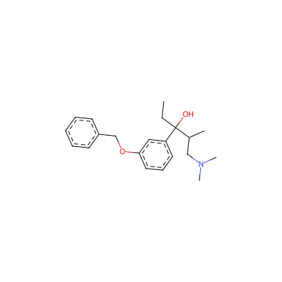 CCC(O)(c1cccc(OCc2ccccc2)c1)C(C)CN(C)C